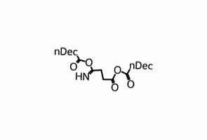 CCCCCCCCCCC(=O)OC(=N)CCC(=O)OC(=O)CCCCCCCCCC